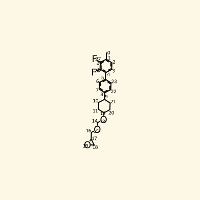 Cc1ccc(-c2ccc(C3CCC(OCOCC4CO4)CC3)cc2)c(F)c1F